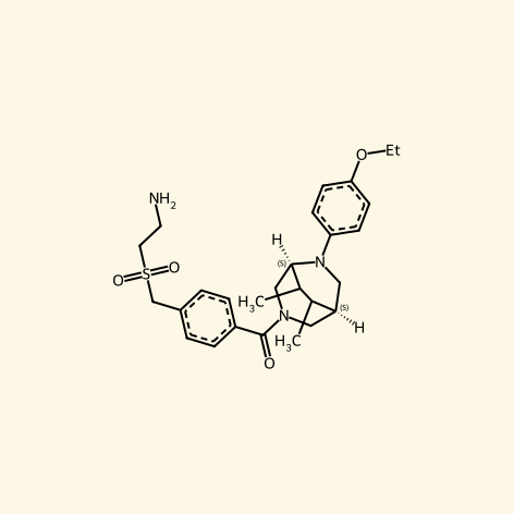 CCOc1ccc(N2C[C@H]3CN(C(=O)c4ccc(CS(=O)(=O)CCN)cc4)C[C@@H]2C(C)C3C)cc1